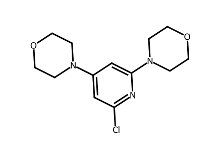 Clc1cc(N2CCOCC2)cc(N2CCOCC2)n1